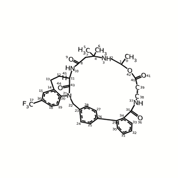 CC1CNC(C)(C)CC(=O)N[C@@H]2CCc3cc(C(F)(F)F)ccc3N(Cc3ccc(cc3)-c3ccccc3C(=O)NCCC(=O)O1)C2=O